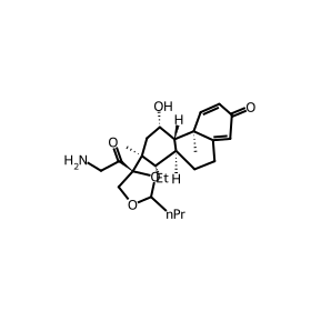 CCCC1OC[C@](C(=O)CN)([C@@]2(C)C[C@H](O)[C@H]3[C@@H](CCC4=CC(=O)C=C[C@@]43C)[C@@H]2CC)O1